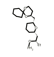 CC[C@@H](C[C@@H]1CCC[C@H](C[C@@H]2CCOC3(CCCCC3)O2)O1)OP